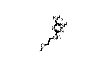 [CH2]OCCNc1n[nH]c(N)n1